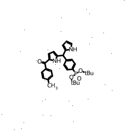 Cc1ccc(C(=O)c2ccc(C(c3ccc(P(=O)(OC(C)(C)C)OC(C)(C)C)cc3)c3ccc[nH]3)[nH]2)cc1